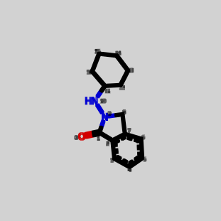 O=C1c2ccccc2CN1NC1CCCCC1